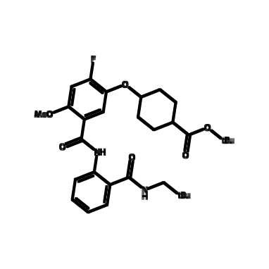 COc1cc(F)c(OC2CCC(C(=O)OC(C)(C)C)CC2)cc1C(=O)Nc1ccccc1C(=O)NCC(C)(C)C